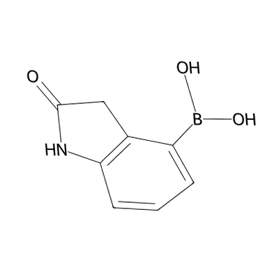 O=C1Cc2c(cccc2B(O)O)N1